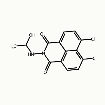 CC(O)NN1C(=O)c2ccc(Cl)c3c(Cl)ccc(c23)C1=O